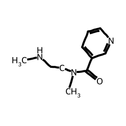 CNCCN(C)C(=O)c1cccnc1